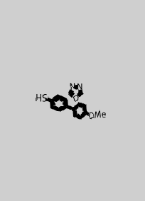 COc1ccc(-c2ccc(S)cc2)cc1.c1nnco1